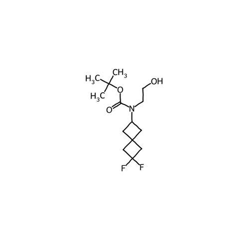 CC(C)(C)OC(=O)N(CCO)C1CC2(C1)CC(F)(F)C2